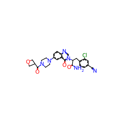 N#Cc1ccc(CC(C(N)=O)n2cnc3ccc(N4CCN(C(=O)C5COC5)CC4)cc3c2=O)c(Cl)c1